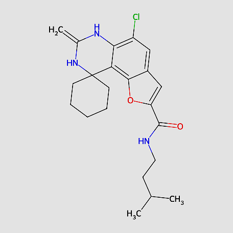 C=C1Nc2c(Cl)cc3cc(C(=O)NCCC(C)C)oc3c2C2(CCCCC2)N1